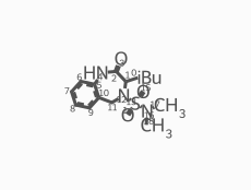 CCC(C)C1C(=O)Nc2ccccc2CN1S(=O)(=O)N(C)C